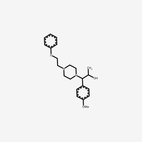 COc1ccc(C(C(C)O)N2CCN(CCOc3ccccc3)CC2)cc1